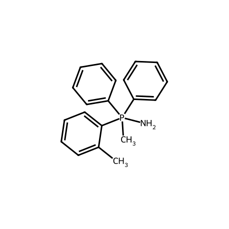 Cc1ccccc1P(C)(N)(c1ccccc1)c1ccccc1